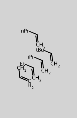 C=CC.C=CC(C)(C)C.C=CC(C)C.C=CCC.C=CCCC